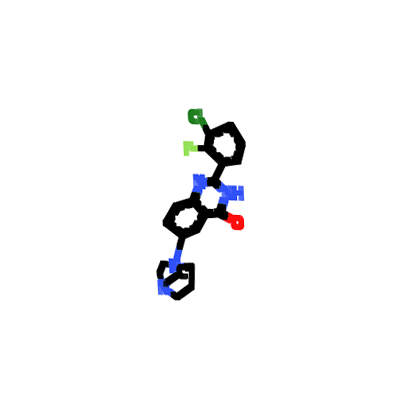 O=c1[nH]c(-c2cccc(Cl)c2F)nc2ccc(N3CCN4CCC3CC4)cc12